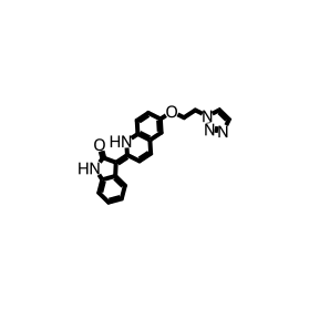 O=C1Nc2ccccc2C1=C1C=Cc2cc(OCCn3ccnn3)ccc2N1